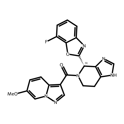 COc1ccc2c(C(=O)N3CCc4[nH]cnc4[C@H]3c3nc4cccc(F)c4o3)cnn2c1